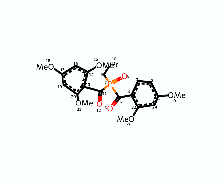 COc1ccc(C(=O)P(=O)(CC(C)C)C(=O)c2c(OC)cc(OC)cc2OC)c(OC)c1